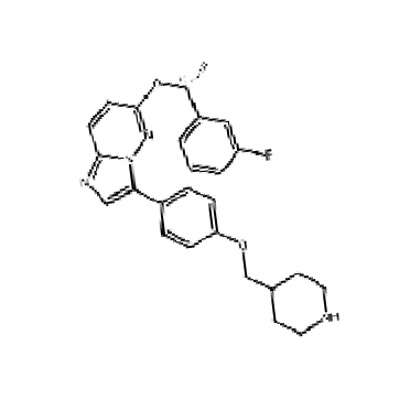 C[C@@H](Oc1ccc2ncc(-c3ccc(OCC4CCNCC4)cc3)n2n1)c1cccc(F)c1